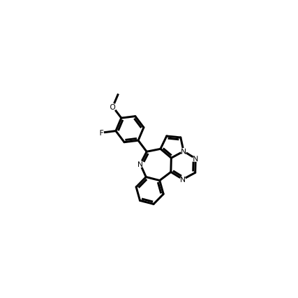 COc1ccc(C2=Nc3ccccc3-c3ncnn4ccc2c34)cc1F